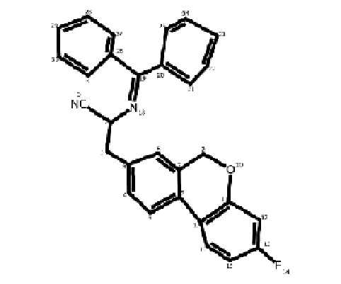 N#CC(Cc1ccc2c(c1)COc1cc(F)ccc1-2)N=C(c1ccccc1)c1ccccc1